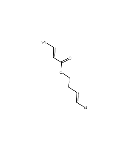 CCC=CCCOC(=O)/C=C/CCC